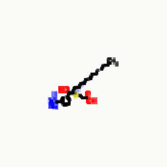 CCCCCCCCC/C=C/C=C/[C@H](SCCC(=O)O)[C@H](O)c1cccc(-c2nnn[nH]2)c1